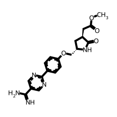 COC(=O)C[C@@H]1C[C@@H](COc2ccc(-c3ncc(C(=N)N)cn3)cc2)NC1=O